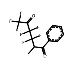 CC(C(=O)c1ccccc1)C(F)(F)C(F)(F)C(=O)C(F)(F)F